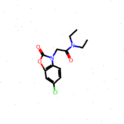 CCN(CC)C(=O)Cn1c(=O)oc2cc(Cl)ccc21